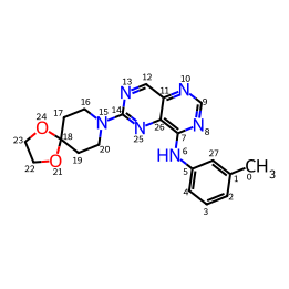 Cc1cccc(Nc2ncnc3cnc(N4CCC5(CC4)OCCO5)nc23)c1